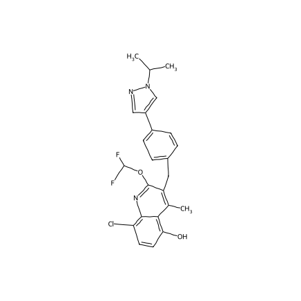 Cc1c(Cc2ccc(-c3cnn(C(C)C)c3)cc2)c(OC(F)F)nc2c(Cl)ccc(O)c12